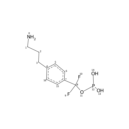 NCCCc1ccc(C(F)(F)OP(O)O)cc1